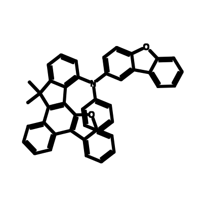 CC1(C)c2cccc(N(c3ccccc3)c3ccc4oc5ccccc5c4c3)c2-c2c1c1ccccc1c1c2oc2ccccc21